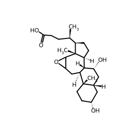 C[C@H](CCC(=O)O)[C@H]1CC[C@H]2[C@@H]3[C@H](O)C[C@@H]4C[C@H](O)CC[C@]4(C)[C@H]3CC3OC3[C@]12C